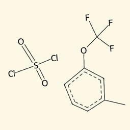 Cc1cccc(OC(F)(F)F)c1.O=S(=O)(Cl)Cl